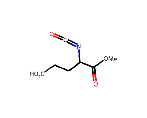 COC(=O)C(CCC(=O)O)N=C=O